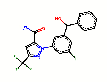 NC(=O)c1cc(C(F)(F)F)nn1-c1cc(F)cc(C(O)c2ccccc2)c1